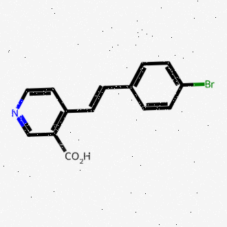 O=C(O)c1cnccc1C=Cc1ccc(Br)cc1